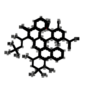 CC(CC(C)(C)C)c1c2oc3c4c(c5ccccc5c3c(-c3c(Cl)c(C(=O)O)cc(Cl)c3C=O)c-2c2ccccc2c1=N)N(C)C(C)(C)CC4C